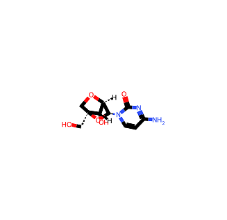 Nc1ccn([C@@H]2O[C@@]3(CO)CO[C@@H]2[C@@H]3O)c(=O)n1